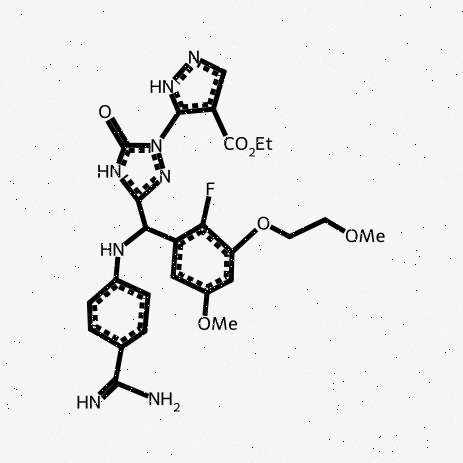 CCOC(=O)c1cn[nH]c1-n1nc(C(Nc2ccc(C(=N)N)cc2)c2cc(OC)cc(OCCOC)c2F)[nH]c1=O